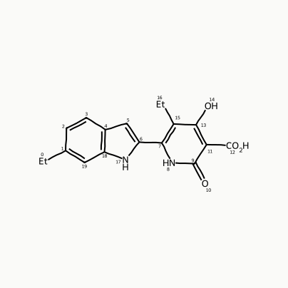 CCc1ccc2cc(-c3[nH]c(=O)c(C(=O)O)c(O)c3CC)[nH]c2c1